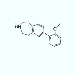 COc1ccccc1-c1ccc2c(c1)CCNCC2